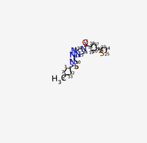 Cc1ccc(-c2nc(-c3nnc4n3CCN(C(=O)c3ccc(-c5cccs5)cc3)C4)cs2)cc1